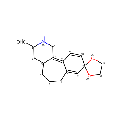 O=CC1CC2CCCC3=CC4(C=CC3=C2CN1)OCCO4